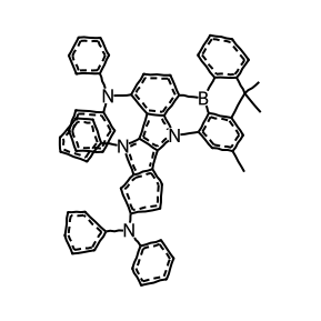 Cc1cc2c3c(c1)C(C)(C)c1ccccc1B3c1ccc(N(c3ccccc3)c3ccccc3)c3c1n-2c1c2ccc(N(c4ccccc4)c4ccccc4)cc2n(-c2ccccc2)c31